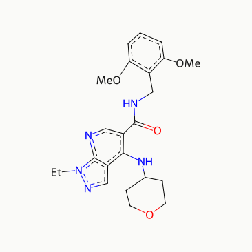 CCn1ncc2c(NC3CCOCC3)c(C(=O)NCc3c(OC)cccc3OC)cnc21